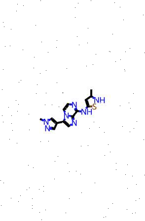 CC1C=C(Nc2nccn3c(-c4cnn(C)c4)cnc23)SN1